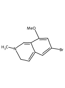 COc1cc(Br)cc2c1=CN(C)CC=2